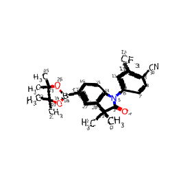 CC1(C)C(=O)N(c2ccc(C#N)c(C(F)(F)F)c2)c2ccc(B3OC(C)(C)C(C)(C)O3)cc21